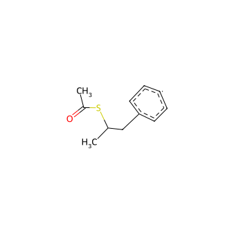 CC(=O)SC(C)Cc1cc[c]cc1